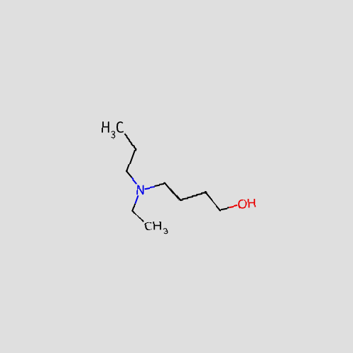 CCCN(CC)CCCCO